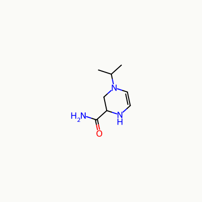 CC(C)N1C=CNC(C(N)=O)C1